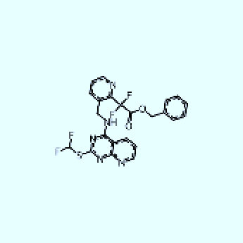 O=C(OCc1ccccc1)C(F)(F)c1ncccc1CNc1nc(SC(F)F)nc2ncccc12